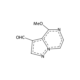 COc1nccn2ncc(C=O)c12